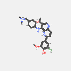 COc1cc(-c2ccc3ncc(C(C)=O)c(NC4CCC(CN(C)C)CC4)c3n2)cc(Cl)c1O